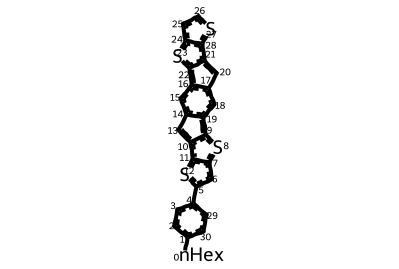 CCCCCCc1ccc(-c2cc3sc4c(c3s2)=Cc2cc3c(cc2=4)C=c2c=3sc3ccsc23)cc1